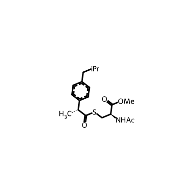 COC(=O)[C@H](CSC(=O)[C@H](C)c1ccc(CC(C)C)cc1)NC(C)=O